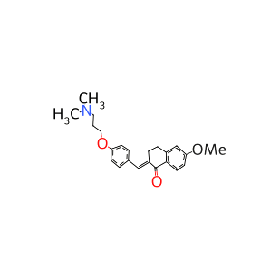 COc1ccc2c(c1)CCC(=Cc1ccc(OCCCN(C)C)cc1)C2=O